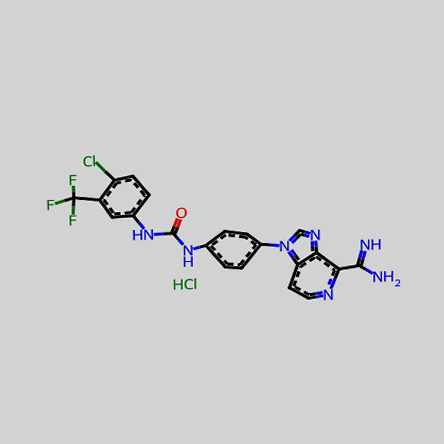 Cl.N=C(N)c1nccc2c1ncn2-c1ccc(NC(=O)Nc2ccc(Cl)c(C(F)(F)F)c2)cc1